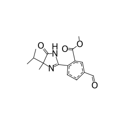 COC(=O)c1cc(C=O)ccc1C1=NC(C)(C(C)C)C(=O)N1